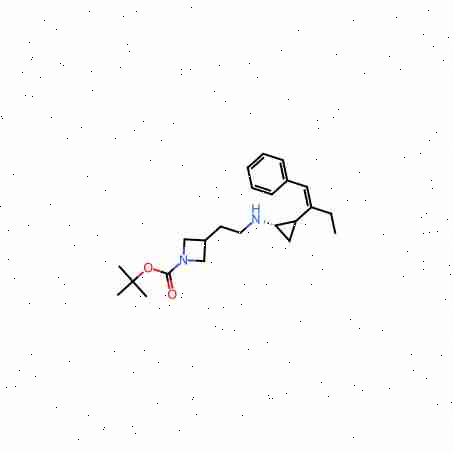 CCC(=Cc1ccccc1)C1C[C@@H]1NCCC1CN(C(=O)OC(C)(C)C)C1